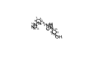 O=C(NCCc1cccc(-n2ccnc2)n1)Nc1ccc(O)cc1